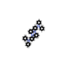 c1ccc(N(c2ccccc2)c2ccc3c4cccc5c4n(c3c2)c2cccc3c4ccc(N(c6ccccc6)c6ccccc6)cc4n5c32)cc1